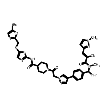 CCCC(c1ccc(-c2cnn(CC(=O)N3CCC(C(=O)Nc4ncc(SCc5ncc(C(C)(C)C)o5)s4)CC3)c2)cc1)N(C)C(=O)/C(C#N)=C/c1ccn(C)n1